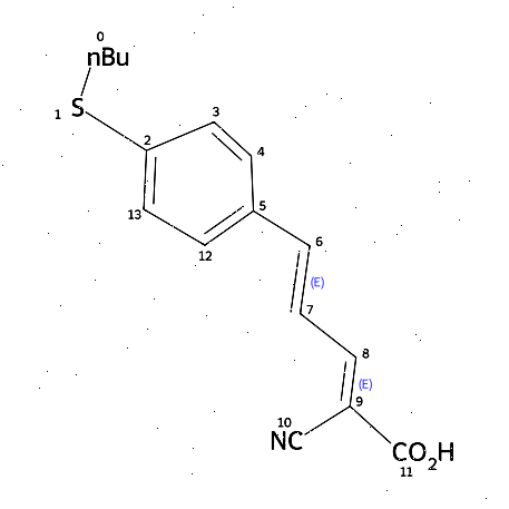 CCCCSc1ccc(/C=C/C=C(\C#N)C(=O)O)cc1